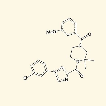 COc1cccc(C(=O)N2CCN(C(=O)c3ncn(-c4cccc(Cl)c4)n3)C(C)(C)C2)c1